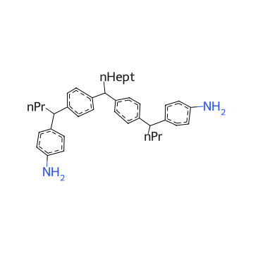 CCCCCCCC(c1ccc(C(CCC)c2ccc(N)cc2)cc1)c1ccc(C(CCC)c2ccc(N)cc2)cc1